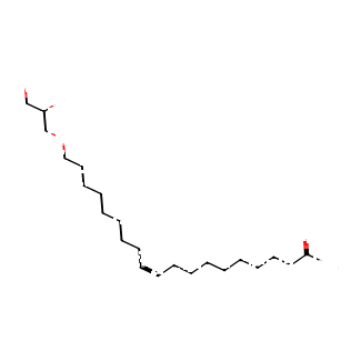 CC(=O)CCCCCCCC/C=C\CCCCCCCCOCC(O)CO